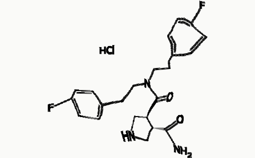 Cl.NC(=O)[C@@H]1CNC[C@H]1C(=O)N(CCc1ccc(F)cc1)CCc1ccc(F)cc1